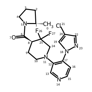 C[C@H]1CCCN1C(=O)[C@@H]1CCN(c2cnccc2-n2cc(Cl)cn2)CC1(F)F